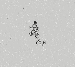 O=C(O)CSc1cnc(NC(=O)N(CC2CCCC2)c2c(F)cc(Br)cc2F)s1